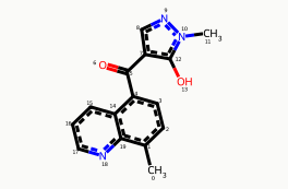 Cc1ccc(C(=O)c2cnn(C)c2O)c2cccnc12